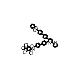 Clc1c(Cl)c(Cl)c2oc(-c3ccc(-c4ccc(-c5nc(-c6ccccn6)ccc5-c5ccc(-c6ccc(-c7nc8ccccc8o7)cc6)cc5)cc4)cc3)nc2c1Cl